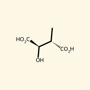 C[C@H](C(=O)O)[C@@H](O)C(=O)O